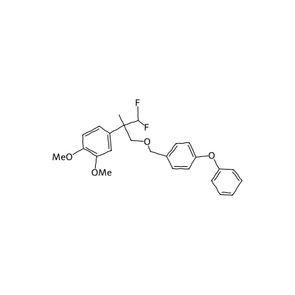 COc1ccc(C(C)(COCc2ccc(Oc3ccccc3)cc2)C(F)F)cc1OC